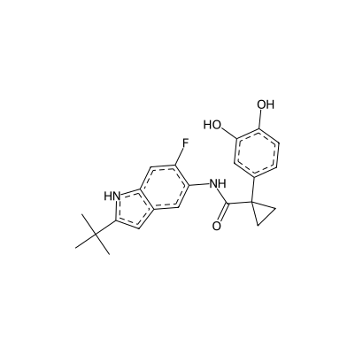 CC(C)(C)c1cc2cc(NC(=O)C3(c4ccc(O)c(O)c4)CC3)c(F)cc2[nH]1